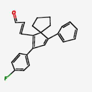 O=CC=CC1=C(c2ccc(F)cc2)C=C(c2ccccc2)C12CCCC2